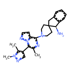 Cc1nc(N2CCC3(CC2)Cc2ccccc2[C@H]3N)c2ccnn2c1-c1cnn(C)c1C